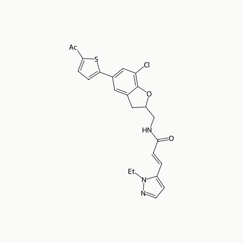 CCn1nccc1C=CC(=O)NCC1Cc2cc(-c3ccc(C(C)=O)s3)cc(Cl)c2O1